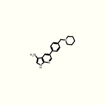 Nc1c[nH]c2ncc(-c3ccc(CN4CCCCC4)cc3)cc12